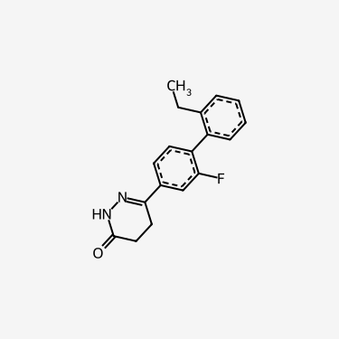 CCc1ccccc1-c1ccc(C2=NNC(=O)CC2)cc1F